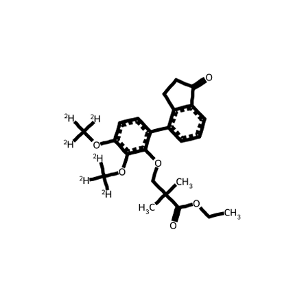 [2H]C([2H])([2H])Oc1ccc(-c2cccc3c2CCC3=O)c(OCC(C)(C)C(=O)OCC)c1OC([2H])([2H])[2H]